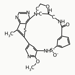 COc1ncc2cc1N[S+]([O-])c1cccc(c1)C(=O)NC[C@@H]1CN(CCO1)c1ncnc3c(C)c-2sc13